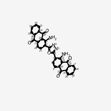 Nc1c(-c2nnc(-c3ccc4c(c3N)C(=O)c3ccccc3C4=O)o2)ccc2c1C(=O)c1ccccc1C2=O